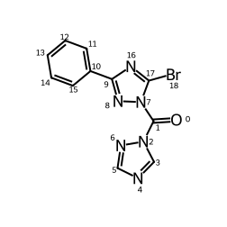 O=C(n1cncn1)n1nc(-c2ccccc2)nc1Br